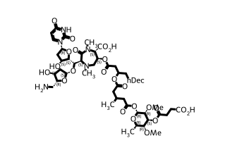 CCCCCCCCCCCC(CC(=O)O[C@H]1CN(C)[C@@H](C(O[C@H]2C[C@H](O)[C@@H](CN)O2)[C@H]2O[C@@H](n3ccc(=O)[nH]c3=O)C[C@@H]2O)C(=O)N(C)[C@@H]1C(=O)O)OC(=O)CC(C)CC(=O)O[C@H]1O[C@H](C)[C@@H](OC)[C@H](OC(=O)CCC(=O)O)[C@H]1OC